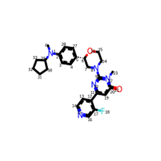 CN(c1ccc([C@H]2CN(c3nc(-c4ccncc4F)cc(=O)n3C)CCO2)cc1)C1CCCC1